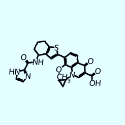 COc1c(-c2cc3c(s2)CCCC3NC(=O)c2ncc[nH]2)ccc2c(=O)c(C(=O)O)cn(C3CC3)c12